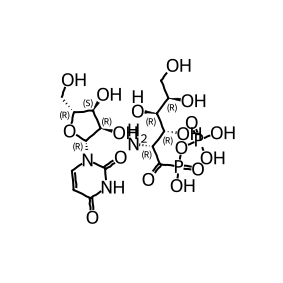 N[C@@H](C(=O)P(=O)(O)OP(=O)(O)O)[C@@H](O)[C@@H](O)[C@H](O)CO.O=c1ccn([C@@H]2O[C@H](CO)[C@@H](O)[C@H]2O)c(=O)[nH]1